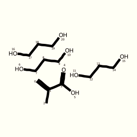 C=C(C)C(=O)O.OCCCO.OCCCO.OCCCO